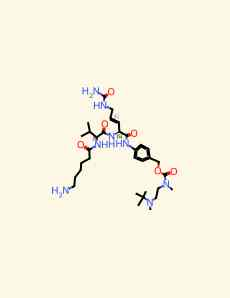 CC(C)[C@H](NC(=O)CCCCCN)C(=O)N[C@@H](/C=C/CNC(N)=O)C(=O)Nc1ccc(COC(=O)N(C)CCN(C)C(C)(C)C)cc1